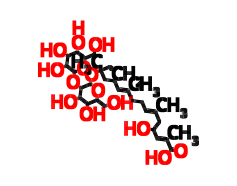 C=CC(C)(CC/C=C(\C)CC/C=C(\C)CC(O)/C=C(\C)C(=O)O)O[C@@H]1OC(CO)[C@@H](O)C(O)C1O[C@@H]1OC(CO)[C@@H](O)C(O)C1O